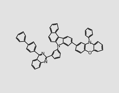 c1ccc(-c2ccc(-c3nc(-c4cccc(-n5c6cc(-c7ccc8c(c7)N(c7ccccc7)c7ccccc7O8)ccc6c6c7ccccc7ccc65)c4)nc4ccccc34)cc2)cc1